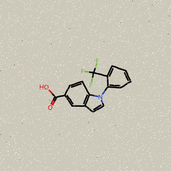 O=C(O)c1ccc2c(ccn2-c2ccccc2C(F)(F)F)c1